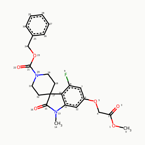 COC(=O)COc1cc(F)c2c(c1)N(C)C(=O)C21CCN(C(=O)OCc2ccccc2)CC1